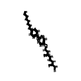 CCCCCCCCc1ccc(-c2ncc(OCCC(F)CCCC(F)CC)cn2)cc1